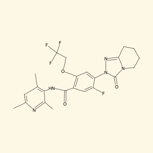 Cc1cc(C)c(NC(=O)c2cc(F)c(-n3nc4n(c3=O)CCCC4)cc2OCC(F)(F)F)c(C)n1